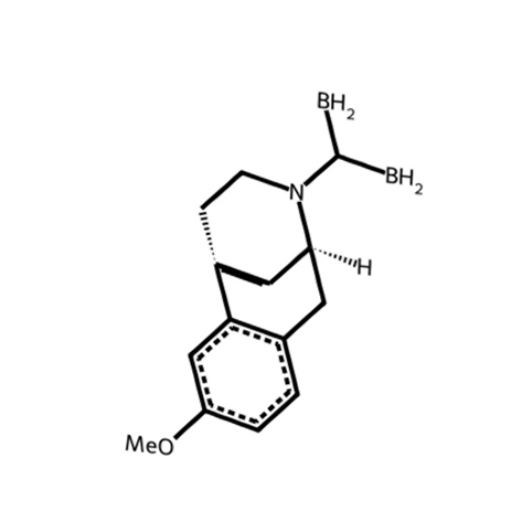 BC(B)N1CC[C@@]23CCCCC2[C@@H]1Cc1ccc(OC)cc13